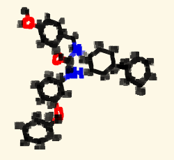 COc1ccc(CN(C(=O)Nc2cccc(Oc3ccccc3)c2)[C@H]2CC[C@H](c3ccccc3)CC2)cc1